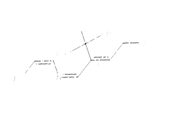 C\C=C/N=C\C(=C\CC)C(C)(C)C